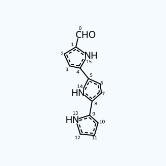 O=Cc1ccc(-c2ccc(-c3ccc[nH]3)[nH]2)[nH]1